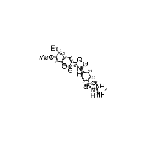 CCc1cc2cc(C(=O)NC(=O)c3ccc(S(=O)(=O)NC(=N)N)cc3)c(=O)oc2cc1OC